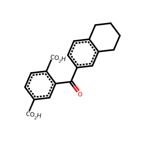 O=C(O)c1ccc(C(=O)O)c(C(=O)c2ccc3c(c2)CCCC3)c1